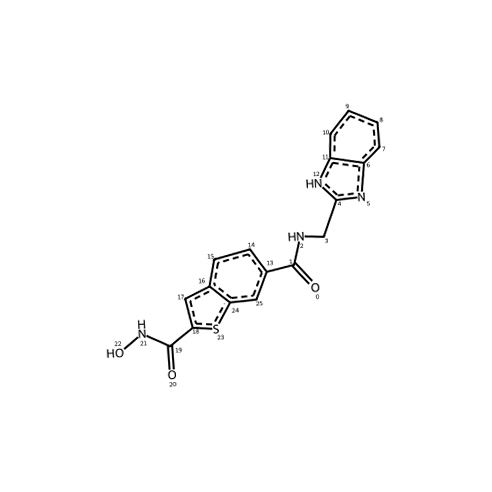 O=C(NCc1nc2ccccc2[nH]1)c1ccc2cc(C(=O)NO)sc2c1